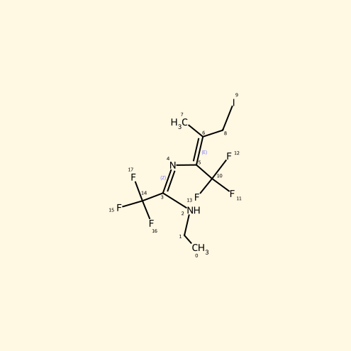 CCN/C(=N\C(=C(/C)CI)C(F)(F)F)C(F)(F)F